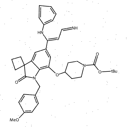 COc1ccc(CN2C(=O)C3(CCC3)c3cc(/C(=C/C=N)Nc4ccccc4)cc(OC4CCN(C(=O)OC(C)(C)C)CC4)c32)cc1